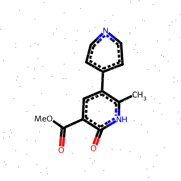 COC(=O)c1cc(-c2ccncc2)c(C)[nH]c1=O